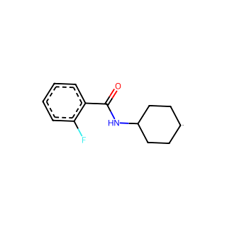 O=C(NC1CC[CH]CC1)c1ccccc1F